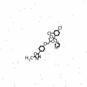 Cc1nnc(-c2ccc(OCC3COC(Cn4ccnc4)(c4ccc(Cl)cc4Cl)O3)cc2)o1